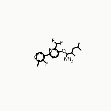 Cc1nccc(-c2ccc(OC(N)C(C)CC(C)C)c(C(F)F)n2)c1F